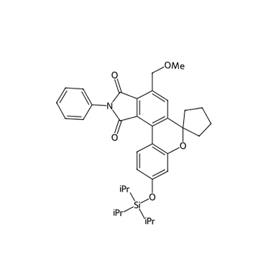 COCc1cc2c(c3c1C(=O)N(c1ccccc1)C3=O)-c1ccc(O[Si](C(C)C)(C(C)C)C(C)C)cc1OC21CCCC1